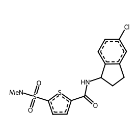 CNS(=O)(=O)c1ccc(C(=O)NC2CCc3cc(Cl)ccc32)s1